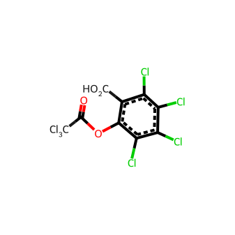 O=C(O)c1c(Cl)c(Cl)c(Cl)c(Cl)c1OC(=O)C(Cl)(Cl)Cl